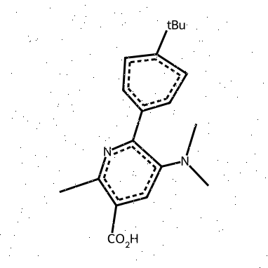 Cc1nc(-c2ccc(C(C)(C)C)cc2)c(N(C)C)cc1C(=O)O